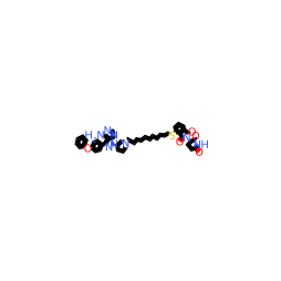 Nc1ncnc2c1c(-c1ccc(Oc3ccccc3)cc1)nn2[C@@H]1CCCN(CCCCCCCCCCCSc2cccc3c2C(=O)N(C2CCC(=O)NC2=O)C3=O)C1